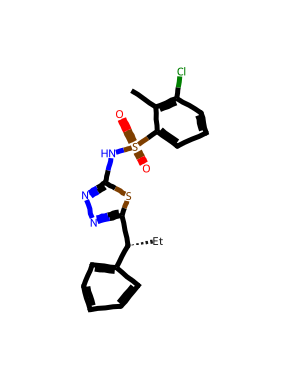 CC[C@H](c1ccccc1)c1nnc(NS(=O)(=O)c2cccc(Cl)c2C)s1